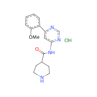 COc1ccccc1-c1cc(NC(=O)C2CCNCC2)ncn1.Cl